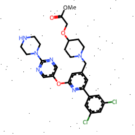 COC(=O)COC1CCN(Cc2cc(Oc3cnc(N4CCNCC4)nc3)nc(-c3cc(Cl)cc(Cl)c3)c2)CC1